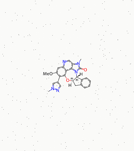 COc1cc2ncc3c4c2c(c1-c1cnn(C)c1)O[C@@H]1Cc2ccccc2[C@H]1n4c(=O)n3C